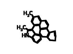 Cc1cc(-c2c(C)[nH]c3ccccc23)c2c3c(ccc2c1)C1=C(CCC=C1)CC3